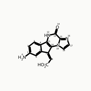 Nc1ccc2c(c1)c(=CC(=O)O)c1c2[nH]c(=O)c2nccn21